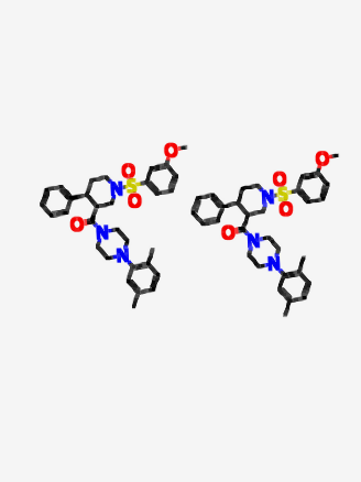 COc1cccc(S(=O)(=O)N2CCC(c3ccccc3)C(C(=O)N3CCN(c4cc(C)ccc4C)CC3)C2)c1.COc1cccc(S(=O)(=O)N2CC[C@H](c3ccccc3)[C@H](C(=O)N3CCN(c4cc(C)ccc4C)CC3)C2)c1